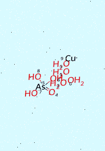 O.O.O.O.O=[As](O)(O)O.[Cu]